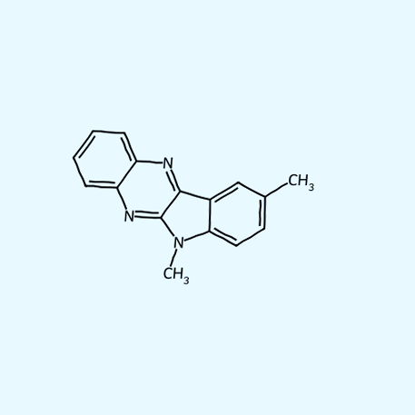 Cc1ccc2c(c1)c1nc3ccccc3nc1n2C